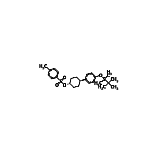 Cc1ccc(S(=O)(=O)O[C@H]2CC[C@H](c3ccc(O[Si](C)(C)C(C)(C)C)cc3)CC2)cc1